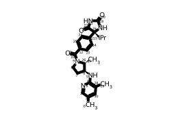 Cc1cnc(N[C@H]2CCN(C(=O)c3ccc([C@@]4(C(C)C)NC(=O)NC4=O)cc3)[C@@H]2C)c(C)c1